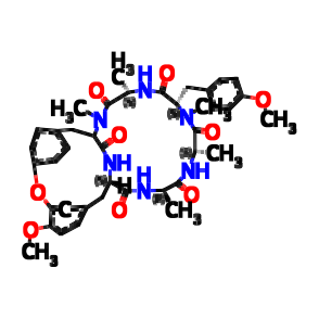 COc1ccc(C[C@H]2C(=O)N[C@@H](C)C(=O)N(C)C3Cc4ccc(cc4)Oc4cc(ccc4OC)C[C@H](NC3=O)C(=O)N[C@H](C)C(=O)N[C@@H](C)C(=O)N2C)cc1